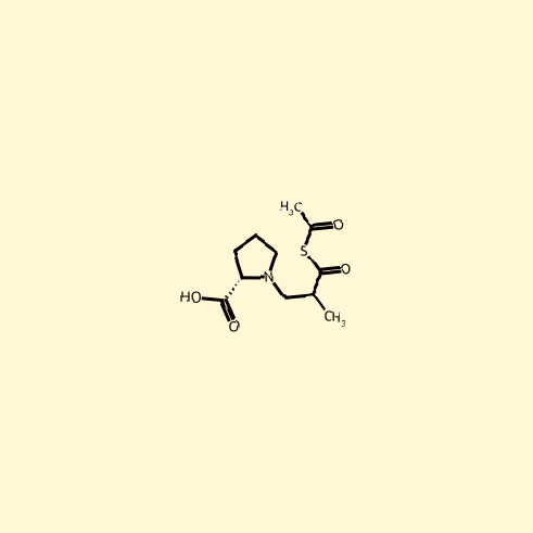 CC(=O)SC(=O)C(C)CN1CCC[C@H]1C(=O)O